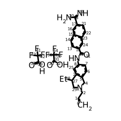 C=CCN1Cc2ccc(NC(=O)c3ccc4cc(C(=N)N)ccc4c3)cc2C(CC)C1.O=C(O)C(F)(F)F.O=C(O)C(F)(F)F